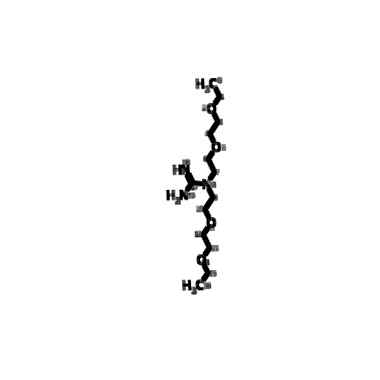 CCOCCOCCN(CCOCCOCC)C(=N)N